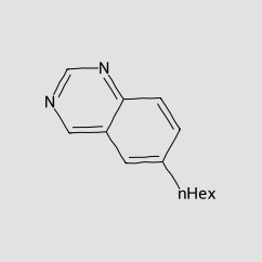 CCCCCCc1ccc2ncncc2c1